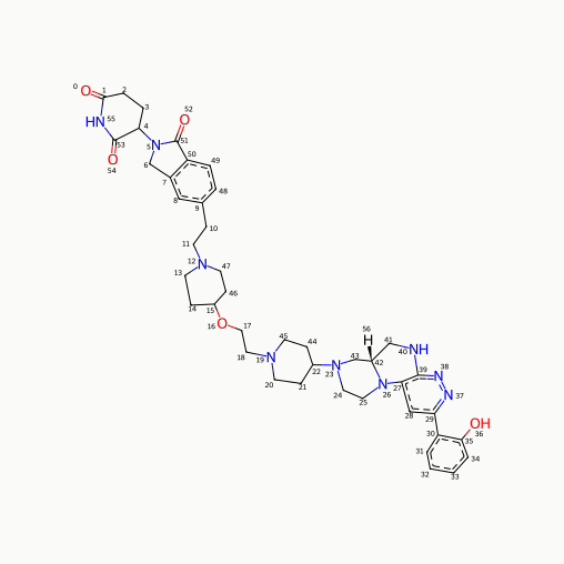 O=C1CCC(N2Cc3cc(CCN4CCC(OCCN5CCC(N6CCN7c8cc(-c9ccccc9O)nnc8NC[C@H]7C6)CC5)CC4)ccc3C2=O)C(=O)N1